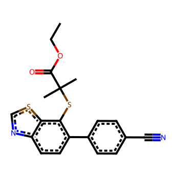 CCOC(=O)C(C)(C)Sc1c(-c2ccc(C#N)cc2)ccc2ncsc12